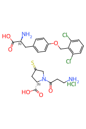 Cl.NCCC(=O)N1CC(=S)C[C@H]1C(=O)O.N[C@@H](Cc1ccc(OCc2c(Cl)cccc2Cl)cc1)C(=O)O